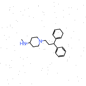 CNC1CCN(CCC(C2=CCCC=C2)c2ccccc2)CC1